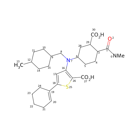 CNC(=O)C1CCC(N(CC2CCC(C)CC2)c2cc(C3=CCCCC3)sc2C(=O)O)CC1C(=O)O